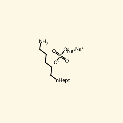 CCCCCCCCCCCCN.O=S(=O)([O-])[O-].[Na+].[Na+]